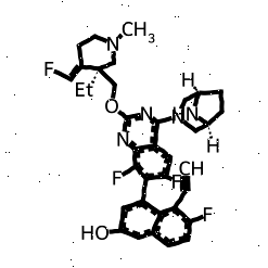 C#Cc1c(F)ccc2cc(O)cc(-c3c(F)cc4c(N5C[C@H]6CC[C@@H](C5)N6)nc(OC[C@]5(CC)CN(C)CC/C5=C\F)nc4c3F)c12